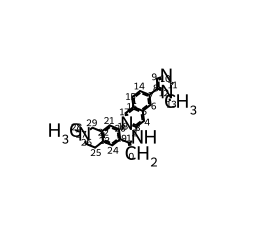 C=C(Nc1cc2cc(-c3cncn3C)ccc2cn1)c1ccc2c(c1)CCN(C)C2